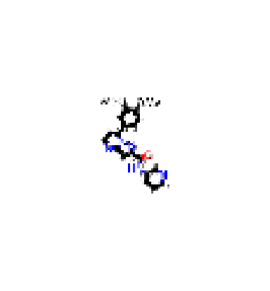 COc1ccc(-c2ccnc3cc(C(=O)Nc4cccnc4)nn23)cc1OC